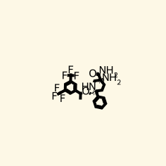 CC(OC[C@@]1(c2ccccc2)CC[C@@](N)(C(N)=O)CN1)c1cc(C(F)(F)F)cc(C(F)(F)F)c1